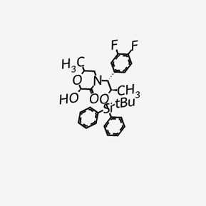 CC1CN([C@H](c2ccc(F)c(F)c2)[C@@H](C)O[Si](c2ccccc2)(c2ccccc2)C(C)(C)C)C(=O)[C@@H](O)O1